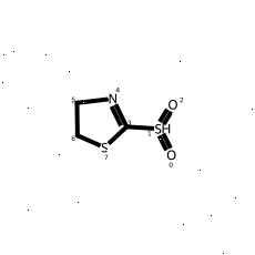 O=[SH](=O)C1=N[CH]CS1